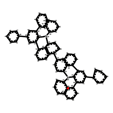 c1ccc(-c2cc(-c3ccccc3)c(N(c3ccccc3)c3ccc(-c4ccc(N(c5ccccc5)c5c(-c6ccccc6)cc(-c6ccccc6)cc5-c5ccccc5)cc4)cc3)c(-c3ccccc3)c2)cc1